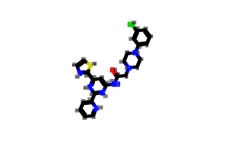 O=C(CN1CCN(c2cccc(Cl)c2)CC1)Nc1cc(-c2nccs2)nc(-c2ccccn2)n1